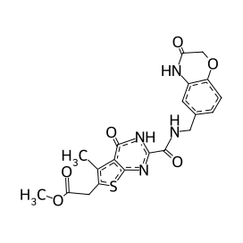 COC(=O)Cc1sc2nc(C(=O)NCc3ccc4c(c3)NC(=O)CO4)[nH]c(=O)c2c1C